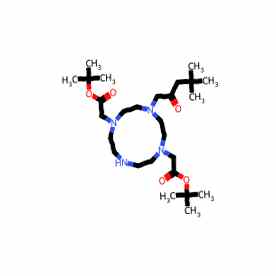 CC(C)(C)CC(=O)CN1CCN(CC(=O)OC(C)(C)C)CCNCCN(CC(=O)OC(C)(C)C)CC1